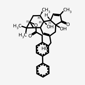 CC1=C[C@@H]2C(O)(CC(CO)=CC3C4C(C)(C)[C@]4(OC(=O)Cc4ccc(-c5ccccc5)cc4)C[C@@H](C)[C@@]32O)C1=O